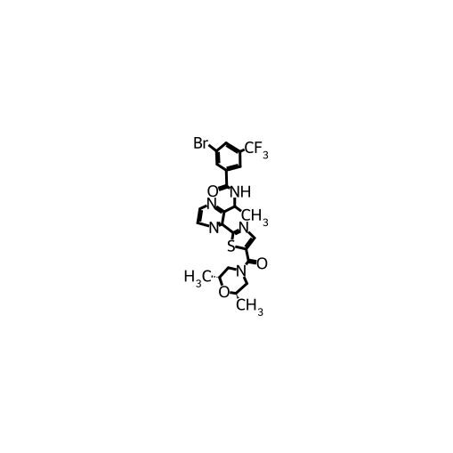 CC(NC(=O)c1cc(Br)cc(C(F)(F)F)c1)c1nccnc1-c1ncc(C(=O)N2C[C@@H](C)O[C@@H](C)C2)s1